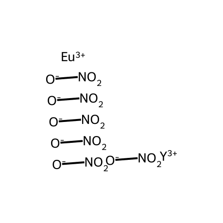 O=[N+]([O-])[O-].O=[N+]([O-])[O-].O=[N+]([O-])[O-].O=[N+]([O-])[O-].O=[N+]([O-])[O-].O=[N+]([O-])[O-].[Eu+3].[Y+3]